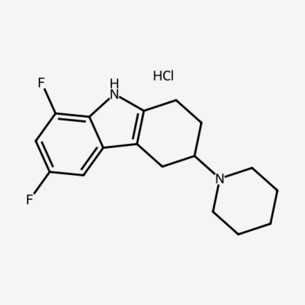 Cl.Fc1cc(F)c2[nH]c3c(c2c1)CC(N1CCCCC1)CC3